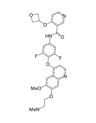 CNCCOc1cc2nccc(Oc3c(F)cc(NC(=O)c4cnccc4OC4COC4)cc3F)c2cc1OC